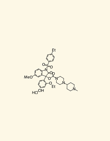 CCOc1ccccc1C1(OC(=O)N2CCN(C3CCN(C)CC3)CC2)C(=O)N(S(=O)(=O)c2ccc(CC)cc2)c2ccc(OC)cc21.Cl.Cl